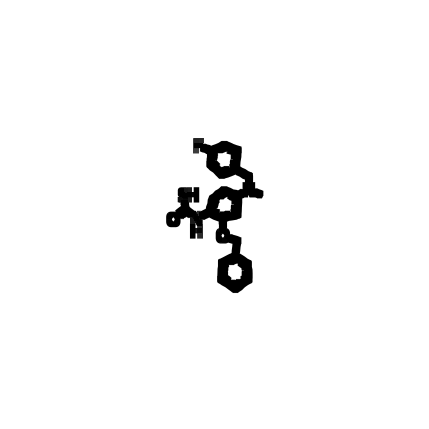 CN(Cc1ccc(F)cc1)c1ccc(NC(=O)S)c(OCc2ccccc2)c1